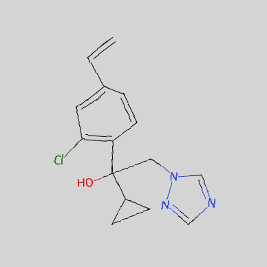 C=Cc1ccc(C(O)(Cn2cncn2)C2CC2)c(Cl)c1